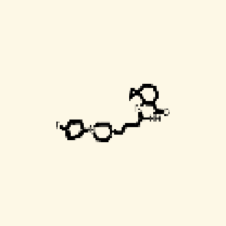 O=c1[nH]c(CCCN2CCN(c3ccc(F)cc3)CC2)nc2c1CCCC21CC1